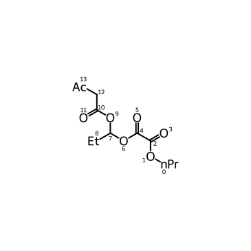 CCCOC(=O)C(=O)OC(CC)OC(=O)CC(C)=O